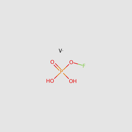 O=P(O)(O)OF.[V]